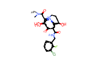 CCCN(C)C(=O)c1c(O)c(=O)c(C(=O)NCc2cccc(Cl)c2F)c2n1CCC2O